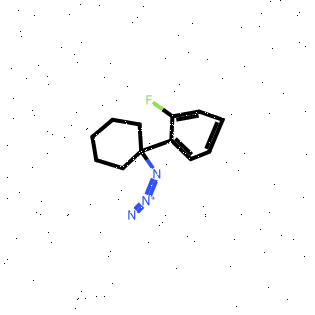 [N-]=[N+]=NC1(c2ccccc2F)CCCCC1